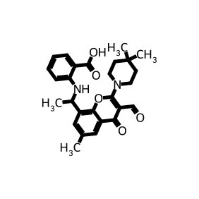 Cc1cc(C(C)Nc2ccccc2C(=O)O)c2oc(N3CCC(C)(C)CC3)c(C=O)c(=O)c2c1